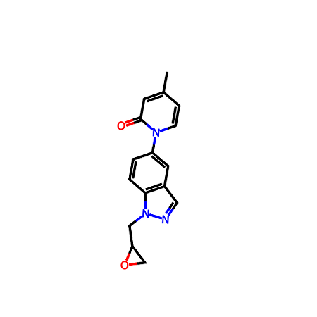 Cc1ccn(-c2ccc3c(cnn3CC3CO3)c2)c(=O)c1